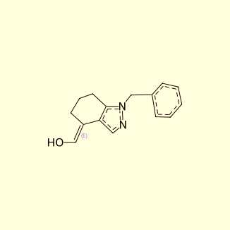 O/C=C1\CCCc2c1cnn2Cc1ccccc1